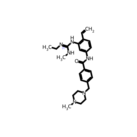 C=Cc1ccc(NC(=O)c2ccc(CN3CCN(C)CC3)cc2)cc1N/C(=N/CC)NC